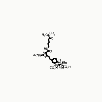 CC(=O)Nc1nc(CCc2ccc(NC(NC(=O)O)(N(C(=O)O)C(C)(C)C)C(C)(C)C)cc2)c(C(=O)NCCCCC(=O)N(C)C)s1